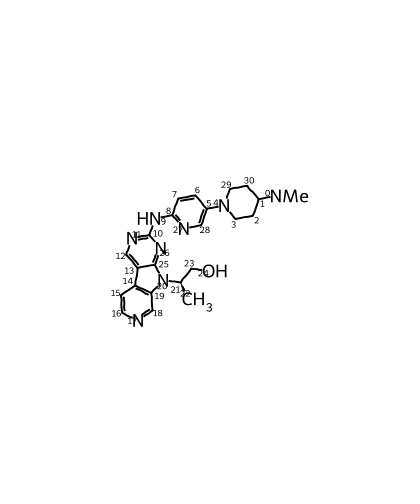 CNC1CCN(c2ccc(Nc3ncc4c5ccncc5n([C@H](C)CO)c4n3)nc2)CC1